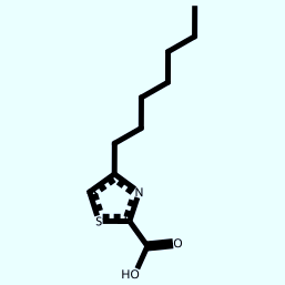 CCCCCCCc1csc(C(=O)O)n1